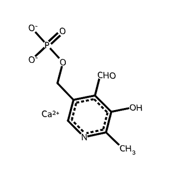 Cc1ncc(COP(=O)([O-])[O-])c(C=O)c1O.[Ca+2]